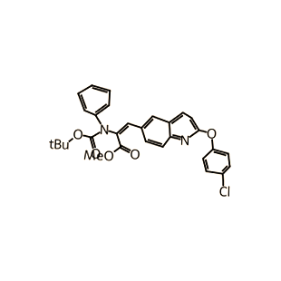 COC(=O)/C(=C\c1ccc2nc(Oc3ccc(Cl)cc3)ccc2c1)N(C(=O)OC(C)(C)C)c1ccccc1